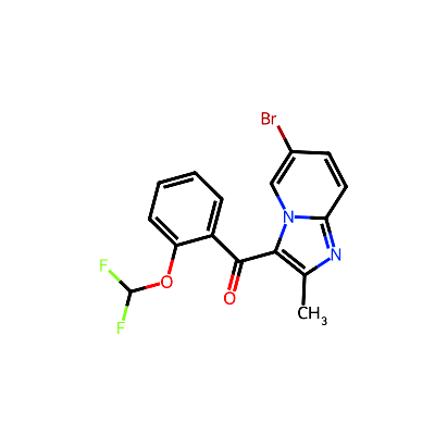 Cc1nc2ccc(Br)cn2c1C(=O)c1ccccc1OC(F)F